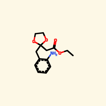 CCOC(=O)CC1(Cc2ccccc2N)OCCO1